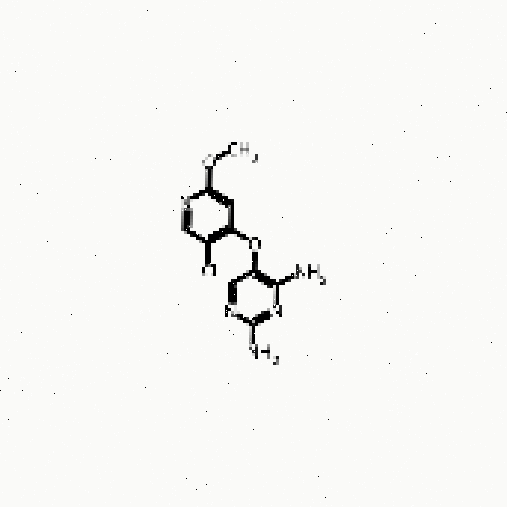 COc1cc(Oc2cnc(N)nc2N)c(Cl)cn1